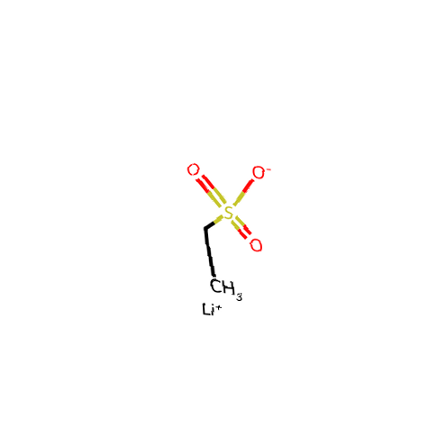 CCS(=O)(=O)[O-].[Li+]